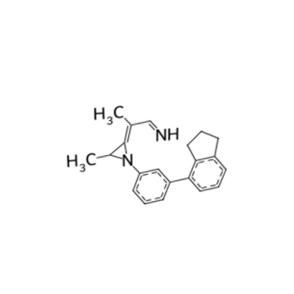 C/C(C=N)=C1\C(C)N1c1cccc(-c2cccc3c2CCC3)c1